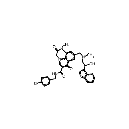 CN(Cc1cc2c3c(c1)c(=O)c(C(=O)NCc1ccc(Cl)cc1)cn3CC(=O)N2C)CC(O)c1csc2ccccc12